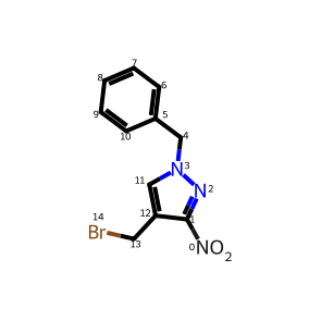 O=[N+]([O-])c1nn(Cc2ccccc2)cc1CBr